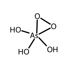 O[As]1(O)(O)OO1